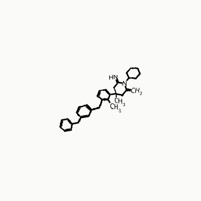 C=C1CC(C)(c2cccc(Cc3cccc(Cc4ccccc4)c3)c2C)CC(=N)N1C1CCCCC1